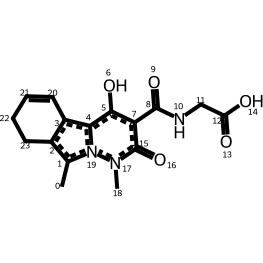 Cc1c2c(c3c(O)c(C(=O)NCC(=O)O)c(=O)n(C)n13)C=CCC2